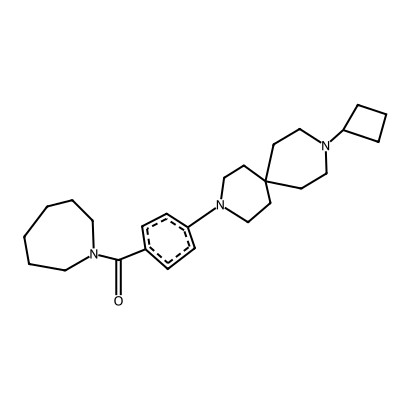 O=C(c1ccc(N2CCC3(CC2)CCN(C2CCC2)CC3)cc1)N1CCCCCC1